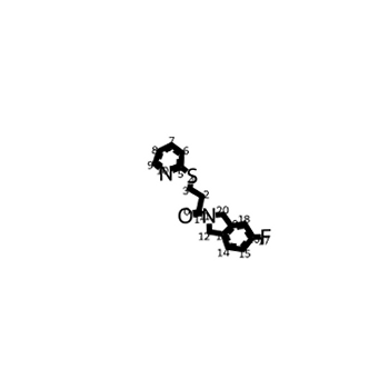 O=C(CCSc1ccccn1)N1Cc2ccc(F)cc2C1